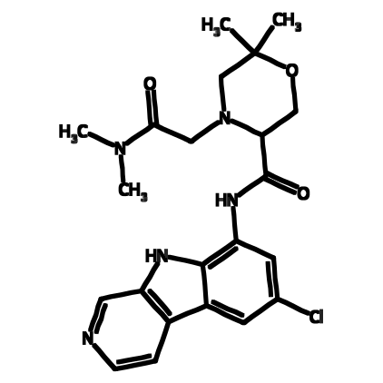 CN(C)C(=O)CN1CC(C)(C)OCC1C(=O)Nc1cc(Cl)cc2c1[nH]c1cnccc12